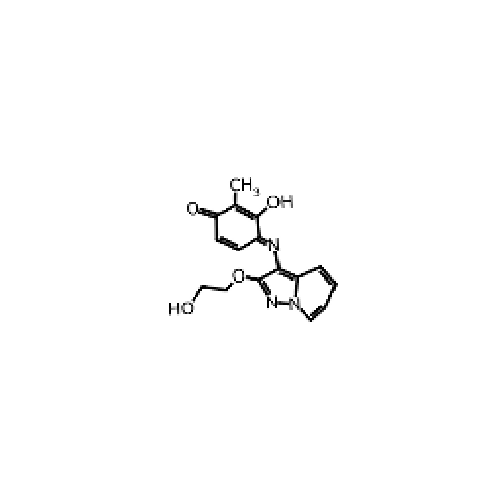 CC1=C(O)/C(=N/c2c(OCCO)nn3ccccc23)C=CC1=O